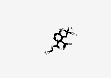 CCOC(=O)c1ccc(Br)c(CC(C)(C)C)c1C(=O)O